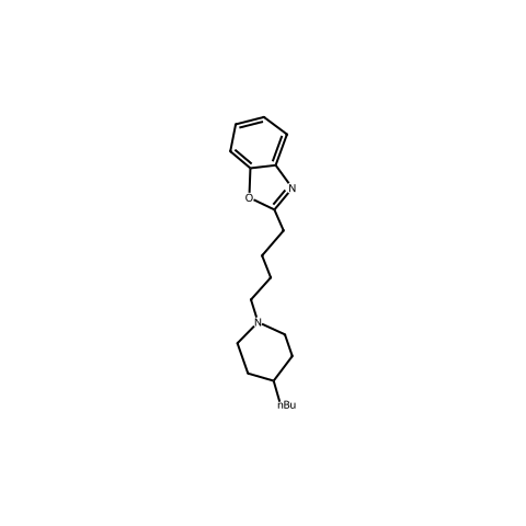 CCCCC1CCN(CCCCc2nc3ccccc3o2)CC1